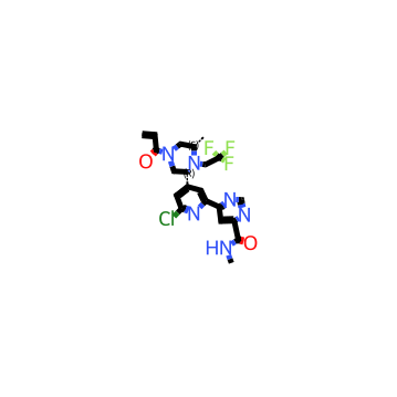 C=CC(=O)N1C[C@H](C)N(CC(F)(F)F)[C@H](c2cc(Cl)nc(-c3cc(C(=O)NC)ncn3)c2)C1